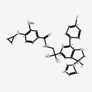 COc1cc(C(=O)NCC(O)(c2cc3c(c(-c4ccc(F)cc4)n2)OC[C@]3(C)n2ccnc2)C(F)(F)F)ccc1OC1CC1